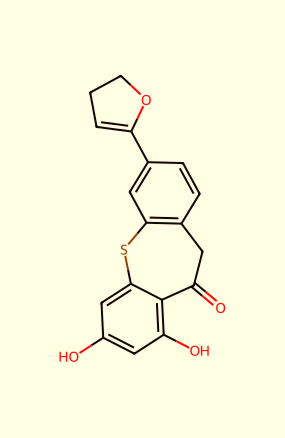 O=C1Cc2ccc(C3=CCCO3)cc2Sc2cc(O)cc(O)c21